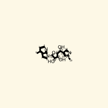 Cc1ccnc2c1ccn2[C@@H]1O[C@H]([C@H](O)c2cnn(C)c2)[C@@H](O)[C@H]1O